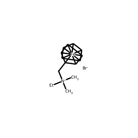 CC[N+](C)(C)C[C]12[CH]3[CH]4[CH]5[CH]1[Fe]45321678[CH]2[CH]1[CH]6[CH]7[CH]28.[Br-]